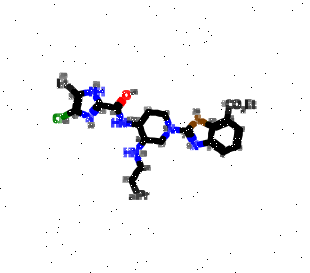 CCOC(=O)c1cccc2nc(N3CCC(NC(=O)c4nc(Cl)c(CC)[nH]4)C(NCCC(C)C)C3)sc12